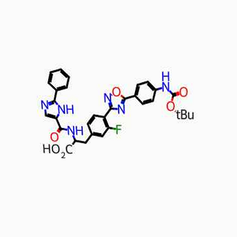 CC(C)(C)OC(=O)Nc1ccc(-c2nc(-c3ccc(CC(NC(=O)c4cnc(-c5ccccc5)[nH]4)C(=O)O)cc3F)no2)cc1